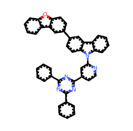 c1ccc(-c2nc(-c3ccccc3)nc(-c3ccnc(-n4c5ccccc5c5cc(-c6ccc7oc8ccccc8c7c6)ccc54)c3)n2)cc1